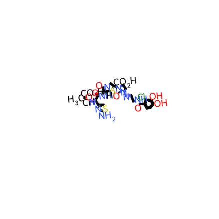 CC(C)(O/N=C(\C(=O)N[C@@H]1C(=O)N2C[C@@](C(=O)O)(N3CCN(/N=C/CNC(=O)c4ccc(O)c(O)c4Cl)C3=O)S[C@H]12)c1csc(N)n1)C(=O)O